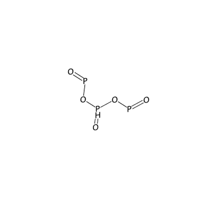 O=PO[PH](=O)OP=O